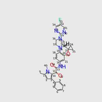 Cc1cc(-c2ccccc2)c(C(=O)C(=O)Nc2ccc3c(c2)OC2(CC2)[C@H]2CN(c4ncc(F)cn4)CCN32)n1C